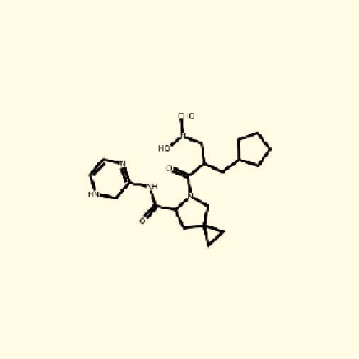 O=CN(O)CC(CC1CCCC1)C(=O)N1CC2(CC2)CC1C(=O)NC1=NC=CNC1